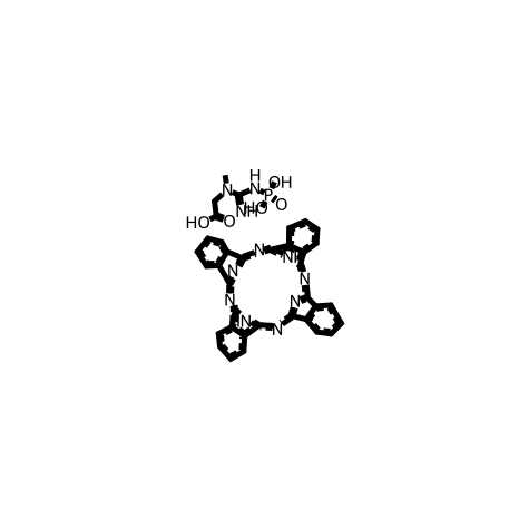 CN(CC(=O)O)C(=N)NP(=O)(O)O.c1ccc2c(c1)-c1nc-2nc2[nH]c(nc3nc(nc4[nH]c(n1)c1ccccc41)-c1ccccc1-3)c1ccccc21